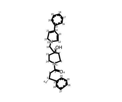 C[C@H](CC(=O)N1CCC(O)(CN2C=CC(c3ccccc3)=CC2)CC1)c1ccccc1